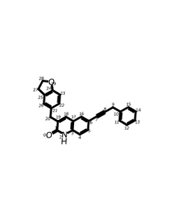 O=c1[nH]c2ccc(C#CCc3ccccc3)cc2cc1Cc1ccc2c(c1)CCO2